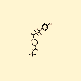 CC(C)(C)OC(=O)N1CCN(C(=O)C(C)(C)S(=O)(=O)c2ccc(Cl)cc2)CC1